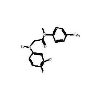 CCN(CC(=O)N(C)c1ccc(OC)cc1)c1ccc(F)c(Cl)c1